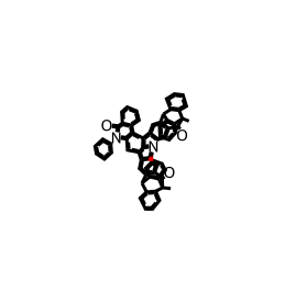 CC12C(=O)c3cc4c(cc3C(c3ccccc31)c1ccccc12)c1cc2c(c3ccccc3c(=O)n2-c2ccccc2)c2c3cc5c(cc3n4c12)C(=O)C1(C)c2ccccc2C5c2ccccc21